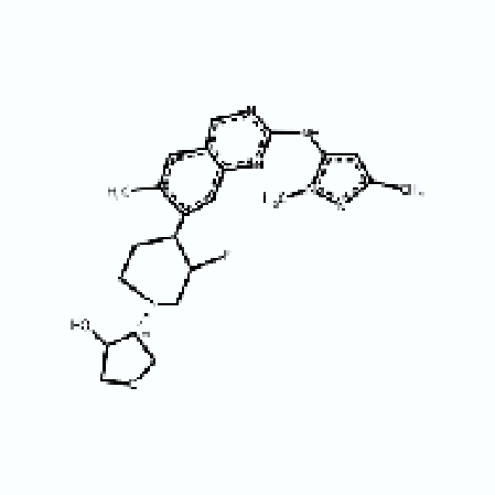 Cc1cc(Nc2ncc3cc(C)c(C4CCN([C@@H]5COCC5O)CC4F)cc3n2)n(C)n1